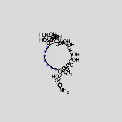 CC1/C=C/C=C/C=C/C=C/C=C/C=C/C=C/C(OC2OC(C)C(O)C(N)C2O)CC2OC(O)(CC(O)CC(O)CCCC(O)CC(O)CC(=O)CC(=O)OC1C(C)CCC(O)CC(=O)c1ccc(N)cc1)CC(O)C2C(=O)O